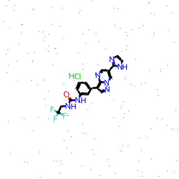 Cl.O=C(NCC(F)(F)F)Nc1cccc(-c2cnn3cc(-c4ncc[nH]4)cnc23)c1